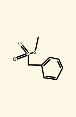 CSS(=O)(=O)Cc1ccccc1